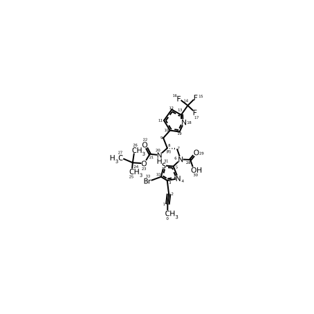 CC#Cc1nc(N(C[C@@H](Cc2ccc(C(F)(F)F)nc2)NC(=O)OC(C)(C)C)C(=O)O)sc1Br